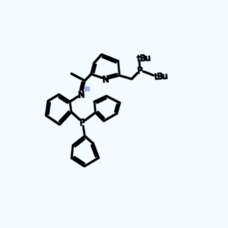 C/C(=N\c1ccccc1P(c1ccccc1)c1ccccc1)c1cccc(CP(C(C)(C)C)C(C)(C)C)n1